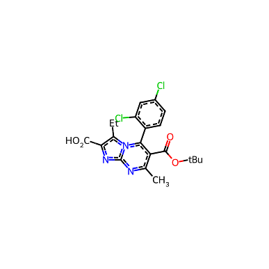 CCc1c(C(=O)O)nc2nc(C)c(C(=O)OC(C)(C)C)c(-c3ccc(Cl)cc3Cl)n12